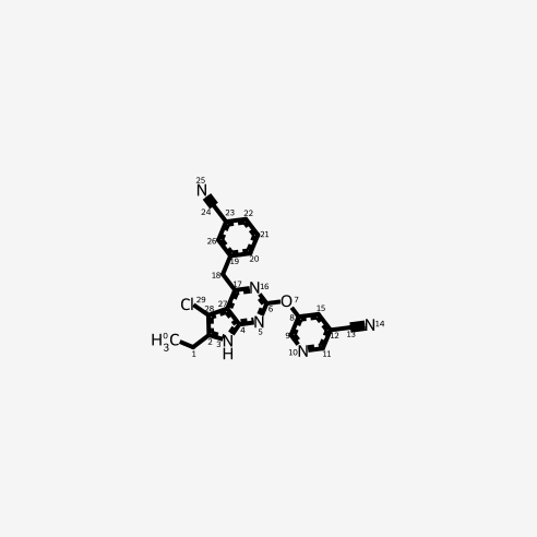 CCc1[nH]c2nc(Oc3cncc(C#N)c3)nc(Cc3cccc(C#N)c3)c2c1Cl